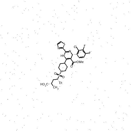 CC[C@H](C[C@H](C)C(=O)O)S(=O)(=O)N1CCC(C2=C(C(=O)OC)[C@@H](c3ccc(F)c(F)c3Cl)N=C(c3nccs3)N2)CC1